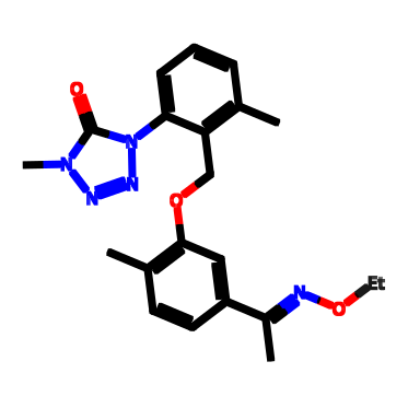 CCON=C(C)c1ccc(C)c(OCc2c(C)cccc2-n2nnn(C)c2=O)c1